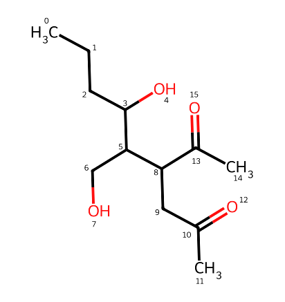 CCCC(O)C(CO)C(CC(C)=O)C(C)=O